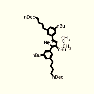 CCCCCCCCCCCCCCc1cc(CCCC)cc(C2=CC(CCCC)=C(c3cc(CCCC)cc(CCCCCCCCCCCCCC)c3)[N+]2=[N-])c1.[CH3][Ni][CH3]